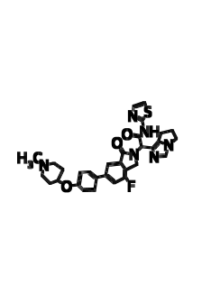 CN1CCC(Oc2ccc(-c3cc(F)c4c(c3)C(=O)N(C(C(=O)Nc3nccs3)c3ncn5c3CCC5)C4)cc2)CC1